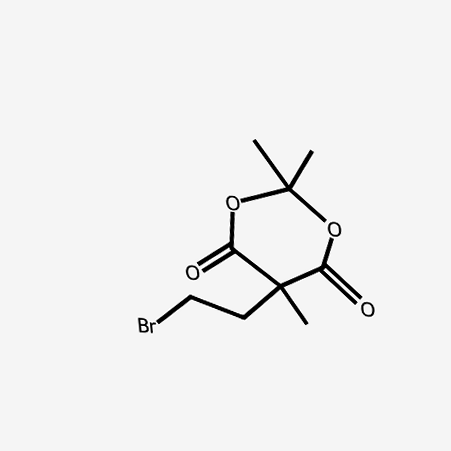 CC1(C)OC(=O)C(C)(CCBr)C(=O)O1